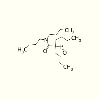 CCCCN(CCCC)C(=O)C(CCCC)(CCCC)P=O